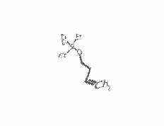 C=CCCO[Si](CC)(CC)CC